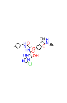 Cc1ccc(CNC(=O)C(COc2cccc(C=C(C#N)C(=O)NC(C)(C)C)c2)NC(=O)C(Nc2cncc(Cl)n2)C(C)O)cc1